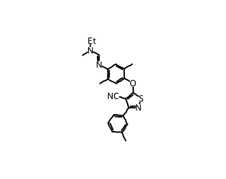 CCN(C)C=Nc1cc(C)c(Oc2snc(-c3cccc(C)c3)c2C#N)cc1C